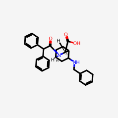 O=C(O)[C@@H]1C2CC[C@H](CC2NCC2=CC=CCC2)N1C(=O)C(c1ccccc1)c1ccccc1